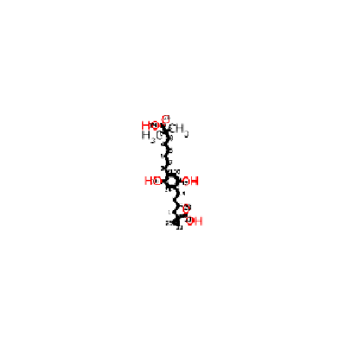 CC(C)(CCCCCCc1cc(O)c(CCCCC2(C(=O)O)CC2)cc1O)C(=O)O